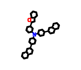 c1cc(-c2cc3ccccc3o2)cc(N(c2ccc(-c3ccc4ccccc4c3)cc2)c2ccc(-c3ccc4ccccc4c3)cc2)c1